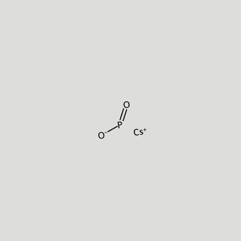 O=P[O-].[Cs+]